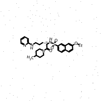 CCOc1ccc2ccc(S(=O)(=O)N[C@@H](CCCNc3ccccn3)C(=O)N3CCC(C)CC3)cc2c1